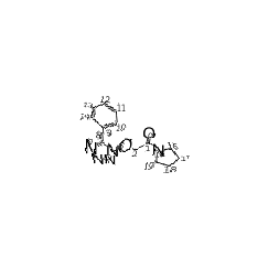 O=C(COn1nnnc1-c1ccccc1)N1CCCC1